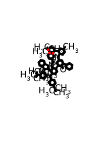 Cc1ccc(N2c3cc(C(C)(C)C)ccc3B3c4c2cc2c(oc5ccccc52)c4-c2ccc(N(c4ccc(C(C)(C)C)cc4)c4ccc(C(C)(C)C)cc4)c4c5c(n3c24)-c2ccccc2C5(C)C)c(-c2ccccc2)c1